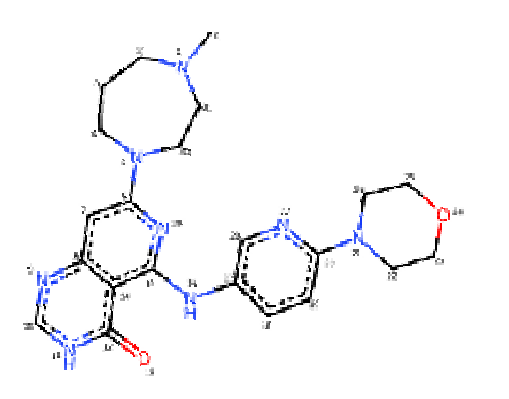 CN1CCCN(c2cc3nc[nH]c(=O)c3c(Nc3ccc(N4CCOCC4)nc3)n2)CC1